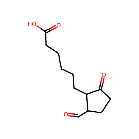 O=CC1CCC(=O)C1CCCCCC(=O)O